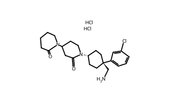 Cl.Cl.NC[C@]1(c2cccc(Cl)c2)CC[C@@H](N2CCC(N3CCCCC3=O)CC2=O)CC1